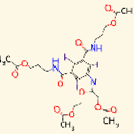 CC(=O)OCCCNC(=O)c1c(I)c(N=C(COC(C)=O)OCCOC(C)=O)c(I)c(C(=O)NCCCOC(C)=O)c1I